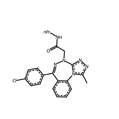 CCCNC(=O)CN1N=C(c2ccc(Cl)cc2)c2ccccc2-n2c(C)nnc21